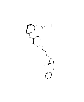 Cc1nn(CCCCN2CCC(Cc3cc(OC(C)C)ccc3Br)CC2)c(=O)n1Cc1ccccc1